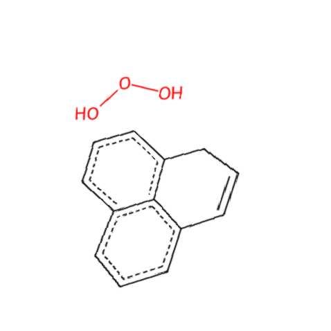 C1=Cc2cccc3cccc(c23)C1.OOO